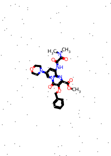 COC(=O)c1nc2c(NC(=O)C(=O)N(C)C)cc(N3CCOCC3)cn2c(=O)c1OCc1ccccc1